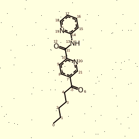 CCCCCC(=O)c1ccc(C(=O)Nc2ccccn2)nc1